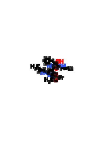 CCC#CCNC[C@@H](O)[C@H](Cc1ccccc1)NC(=O)c1cc(NC[C@H]2C[C@@H]2C)nc(N(C)S(=O)(=O)C(C)C)c1